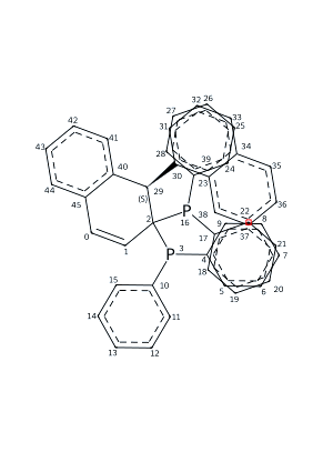 C1=CC(P(c2ccccc2)c2ccccc2)(P(c2ccccc2)c2ccccc2)[C@H](c2cccc3ccccc23)c2ccccc21